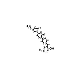 CC[C@H]1CN(c2ccc(-c3ccc(CN(CC)B(C)O)cc3)c(F)c2)C(=O)O1